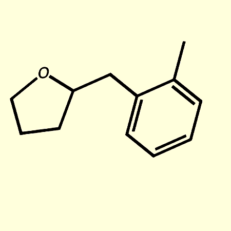 Cc1ccccc1CC1CCCO1